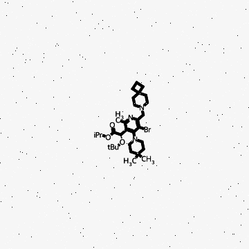 Cc1nc(CN2CCC3(CCC3)CC2)c(Br)c(N2CCC(C)(C)CC2)c1[C@H](OC(C)(C)C)C(=O)OC(C)C